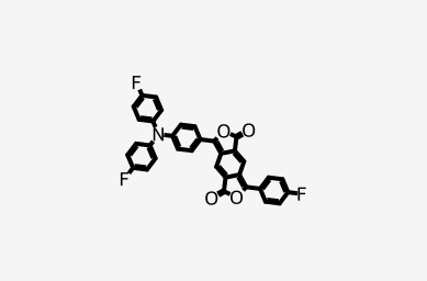 O=C1OC(c2ccc(F)cc2)=c2cc3c(cc21)=C(c1ccc(N(c2ccc(F)cc2)c2ccc(F)cc2)cc1)OC3=O